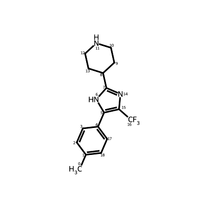 Cc1ccc(-c2[nH]c(C3CCNCC3)nc2C(F)(F)F)cc1